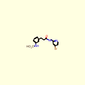 O=C(O)Nc1cccc(CCC(=O)NCc2cc(Br)ccn2)c1